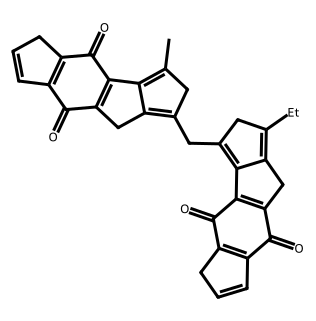 CCC1=C2CC3=C(C(=O)C4=C(C=CC4)C3=O)C2=C(CC2=C3CC4=C(C(=O)C5=C(C=CC5)C4=O)C3=C(C)C2)C1